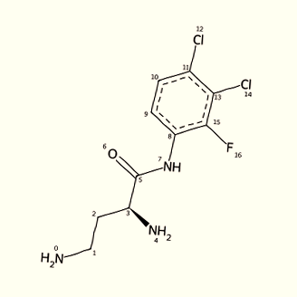 NCC[C@H](N)C(=O)Nc1ccc(Cl)c(Cl)c1F